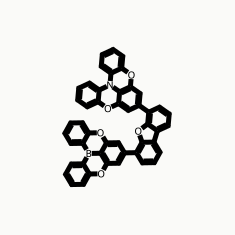 c1ccc2c(c1)Oc1cc(-c3cccc4c3oc3c(-c5cc6c7c(c5)Oc5ccccc5N7c5ccccc5O6)cccc34)cc3c1B2c1ccccc1O3